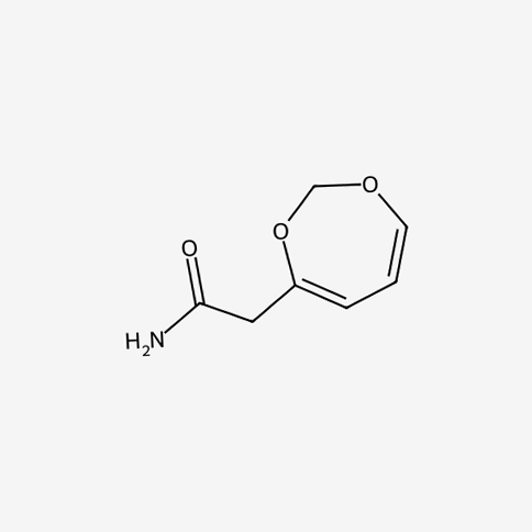 NC(=O)CC1=CC=COCO1